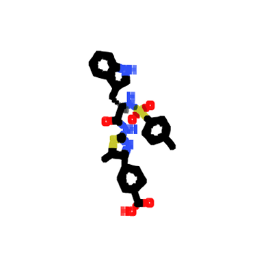 Cc1ccc(S(=O)(=O)N[C@@H](Cc2c[nH]c3ccccc23)C(=O)Nc2nc(-c3ccc(C(=O)O)cc3)c(C)s2)cc1